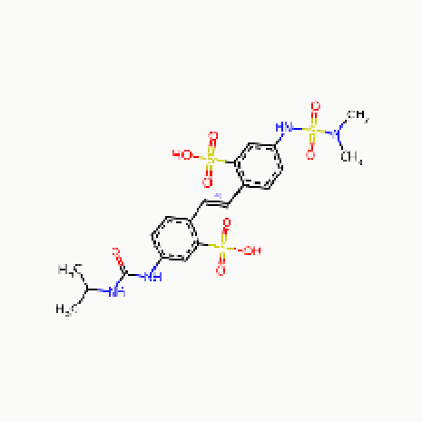 CC(C)NC(=O)Nc1ccc(/C=C/c2ccc(NS(=O)(=O)N(C)C)cc2S(=O)(=O)O)c(S(=O)(=O)O)c1